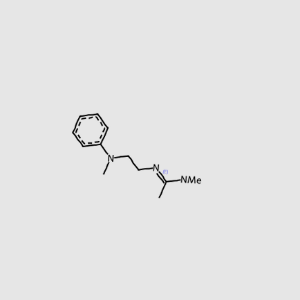 CN/C(C)=N/CCN(C)c1ccccc1